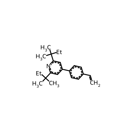 C=Cc1ccc(-c2cc(C(C)(C)CC)nc(C(C)(C)CC)c2)cc1